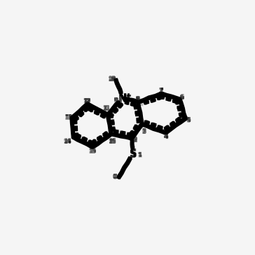 CSc1c2ccccc2[n+](C)c2ccccc12